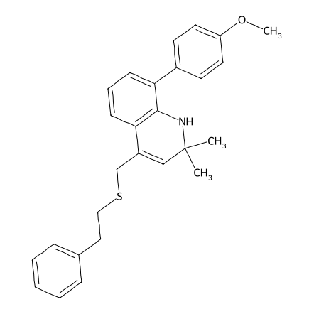 COc1ccc(-c2cccc3c2NC(C)(C)C=C3CSCCc2ccccc2)cc1